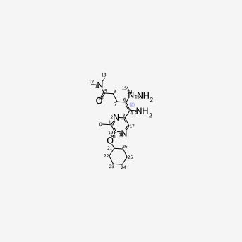 Cc1nc(/C(N)=C(\CCC(=O)N(C)C)N(C)N)cnc1OC1CCCCC1